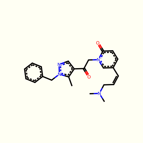 Cc1c(C(=O)Cn2cc(/C=C\CN(C)C)ccc2=O)cnn1Cc1ccccc1